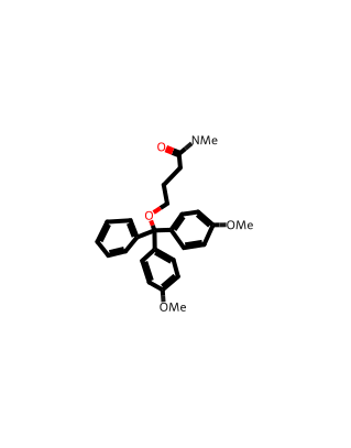 CNC(=O)CCCOC(c1ccccc1)(c1ccc(OC)cc1)c1ccc(OC)cc1